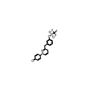 O=C1C=CC(N2C=CCC(Cc3cccc(OS(=O)(=O)C(F)(F)F)c3)=N2)C=C1